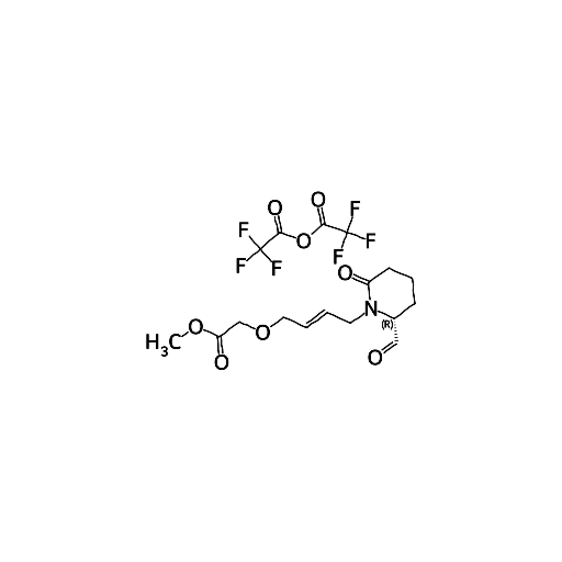 COC(=O)COCC=CCN1C(=O)CCC[C@@H]1C=O.O=C(OC(=O)C(F)(F)F)C(F)(F)F